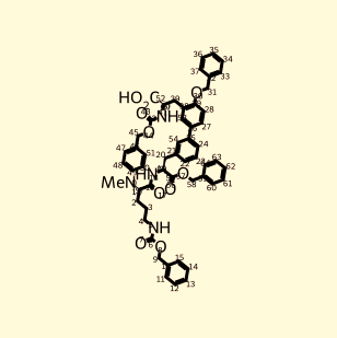 CN[C@@H](CCCNC(=O)OCc1ccccc1)C(=O)N[C@@H](Cc1cccc(-c2ccc(OCc3ccccc3)c(C[C@H](NC(=O)OCc3ccccc3)C(=O)O)c2)c1)C(=O)OCc1ccccc1